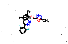 CCC12C[C@@H]3c4cc(-c5c(F)cccc5F)nnc4[C@@]1(OCc1nnc(C)o1)CC32